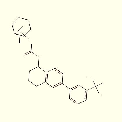 CC(C)(C)c1cccc(-c2ccc3c(c2)CCCC3NC(=O)O[C@H]2CN3CCC2CC3)c1